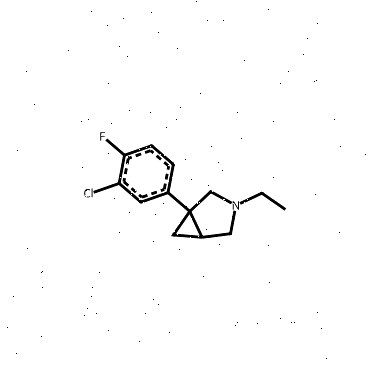 CCN1CC2CC2(c2ccc(F)c(Cl)c2)C1